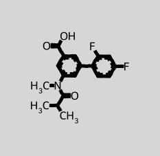 CC(C)C(=O)N(C)c1cc(C(=O)O)cc(-c2ccc(F)cc2F)c1